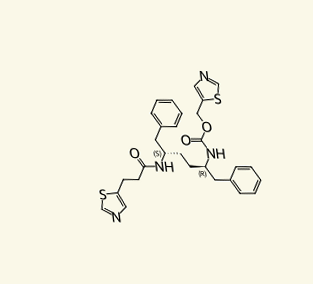 O=C(CCc1cncs1)N[C@@H](CC[C@H](Cc1ccccc1)NC(=O)OCc1cncs1)Cc1ccccc1